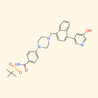 CC(C)(C)S(=O)(=O)NC(=O)c1ccc(N2CCN(Cc3ccc(-c4cncc(O)c4)c4ccccc34)CC2)cc1